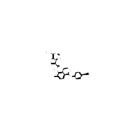 C#Cc1ccc(Nc2nccc3c(NC(=O)c4csc5c(N)ncnc45)c(C)ccc23)cc1